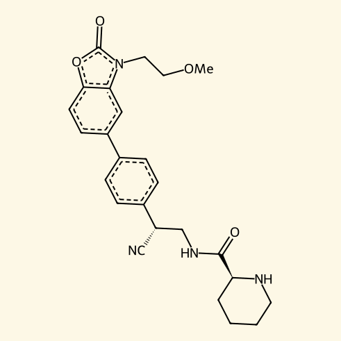 COCCn1c(=O)oc2ccc(-c3ccc([C@@H](C#N)CNC(=O)[C@@H]4CCCCN4)cc3)cc21